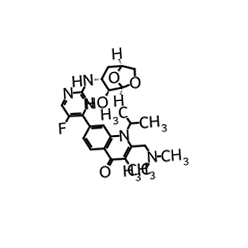 Cc1c(CN(C)C)n(C(C)C)c2cc(-c3nc(N[C@@H]4C[C@H]5CO[C@H](O5)[C@H]4O)ncc3F)ccc2c1=O